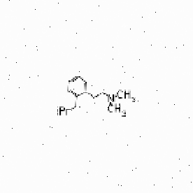 CC(C)[CH]c1ccccc1CCN(C)C